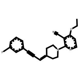 CCOc1ccnc(N2CCC(=CC#Cc3cccc(F)c3)CC2)c1C#N